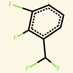 Fc1[c]ccc(C(F)F)c1F